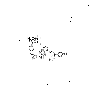 CC(C)(C)OC(=O)N1CCC(Cn2cc(Nc3nc4c(N5CCC(CO)(c6ccc(Cl)cc6)CC5)cccn4n3)cn2)CC1